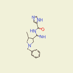 CC1CN(Cc2ccccc2)CC1C(=N)NC(=O)c1cnc[nH]1